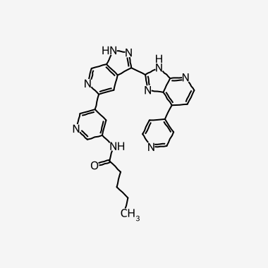 CCCCC(=O)Nc1cncc(-c2cc3c(-c4nc5c(-c6ccncc6)ccnc5[nH]4)n[nH]c3cn2)c1